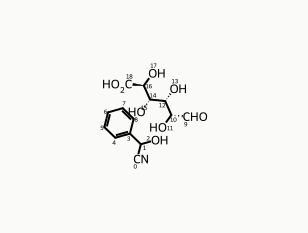 N#CC(O)c1ccccc1.O=C[C@H](O)[C@@H](O)[C@H](O)[C@H](O)C(=O)O